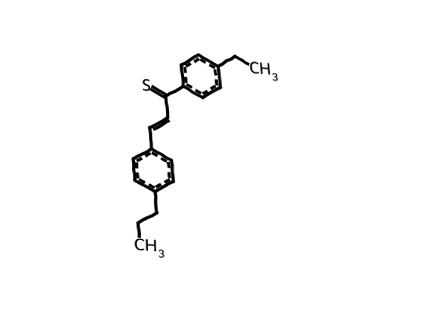 CCCc1ccc(C=CC(=S)c2ccc(CC)cc2)cc1